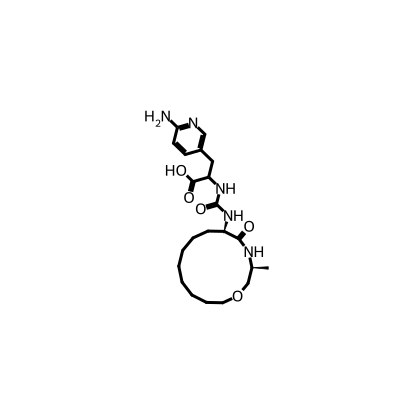 C[C@H]1COCCCCCCCC[C@@H](NC(=O)NC(Cc2ccc(N)nc2)C(=O)O)C(=O)N1